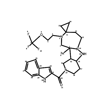 [2H]C12CN(CCOC(F)(F)F)C3(CCN1NC1CCN(C(=O)c4cc5ccccc5[nH]4)CC12)CC3